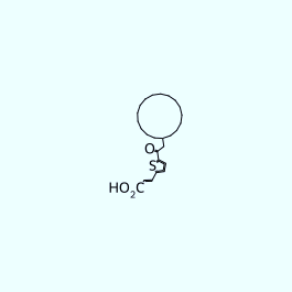 O=C(O)C=Cc1ccc(C(=O)CC2CCCCCCCCCCCCCCCC2)s1